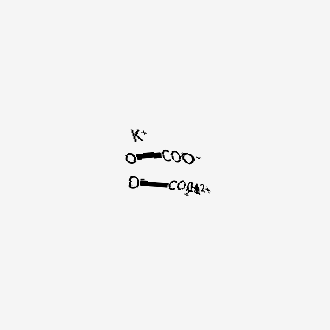 O=C([O-])O.O=C([O-])[O-].[Ca+2].[K+]